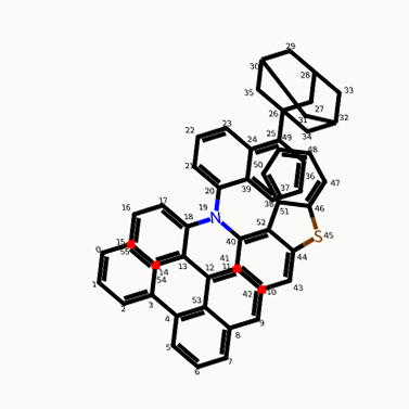 c1ccc(-c2cccc3cccc(-c4ccccc4N(c4cccc5c(C67CC8CC(CC(C8)C6)C7)cccc45)c4cccc5sc6ccccc6c45)c23)cc1